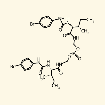 CC[C@H](C)[C@H](NC(=O)Nc1ccc(Br)cc1)C(=O)NCO[PH](=O)OCNC(=O)[C@@H](NC(=O)Nc1ccc(Br)cc1)[C@@H](C)CC